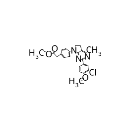 CCOC(=O)Cc1ccc(N2CCc3c(C)nc(-c4ccc(OC)c(Cl)c4)nc32)cc1